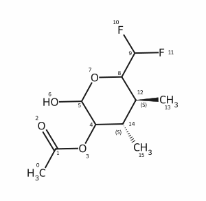 CC(=O)OC1C(O)OC(C(F)F)[C@@H](C)[C@@H]1C